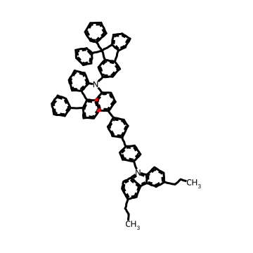 CCCc1ccc2c(c1)c1cc(CCC)ccc1n2-c1ccc(-c2ccc(-c3ccc(N(c4ccc5c(c4)C(c4ccccc4)(c4ccccc4)c4ccccc4-5)c4ccccc4-c4ccccc4-c4ccccc4)cc3)cc2)cc1